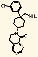 NC[C@]1(c2cccc(Cl)c2)CC[C@@H](N2CCc3cncnc3C2=O)CC1